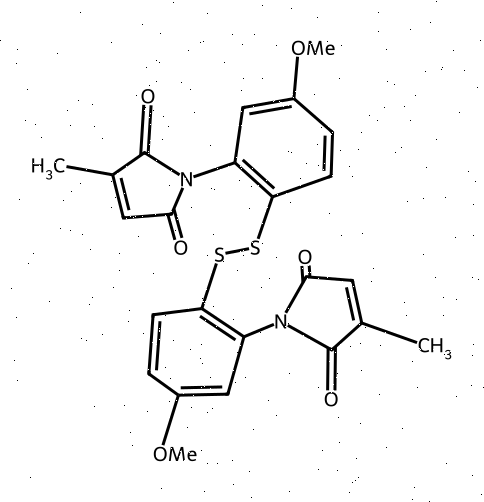 COc1ccc(SSc2ccc(OC)cc2N2C(=O)C=C(C)C2=O)c(N2C(=O)C=C(C)C2=O)c1